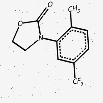 Cc1ccc(C(F)(F)F)cc1N1CCOC1=O